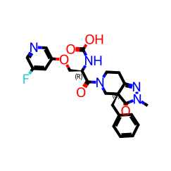 CN1N=C2CCN(C(=O)[C@@H](COc3cncc(F)c3)NC(=O)O)C[C@@]2(Cc2ccccc2)C1=O